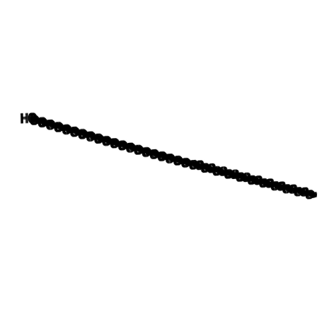 C=CCOCCOCCOCCOCCOCCOCCOCCOCCOCCOCCOCCOCCOCCOCCOCCOCCOCCOCCOCCOCCOCCCOCCCOCCCOCCCOCCCOCCCOCCCOCCCOCCCOCCCOCCCOCCCOCCCOCCCOCCCOCCCOCCCOCCCOCCCOCCCOO